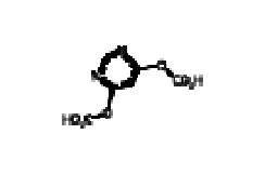 O=C(O)Oc1cc(OC(=O)O)ncn1